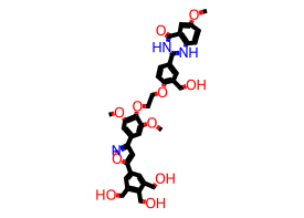 COc1ccc2c(c1)C(=O)NC(c1ccc(OCCOc3c(OC)cc(-c4cc(-c5cc(CO)c(CO)c(CO)c5)on4)cc3OC)c(CO)c1)N2